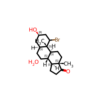 C[C@]12C(Br)C[C@H](O)C[C@@H]1CC[C@@H]1[C@@H]2CC[C@]2(C)C(=O)CC[C@@H]12.O